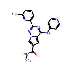 CNC(=O)c1cc2c(Nc3ccncc3)nc(-c3cccc(C)n3)nn2c1